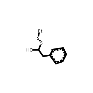 CCSSC(O)Cc1[c]cccc1